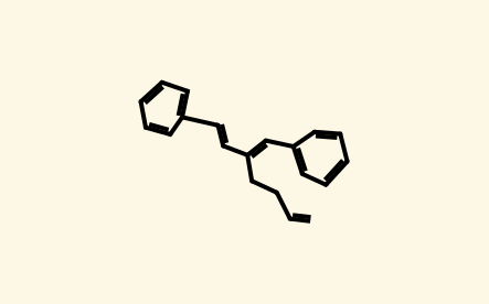 C=CCCC(C=Cc1ccccc1)=Cc1ccccc1